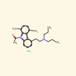 CCCN(CCC)CCc1cccc2c1c1c(C)ccc(C)c1n2C(C)=O.Cl